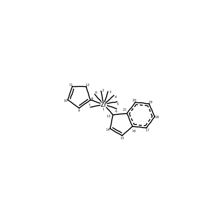 [CH3][Zr]([CH3])([CH3])([CH3])([CH3])([CH3])([CH3])([C]1=CC=CC1)[CH]1C=Cc2ccccc21